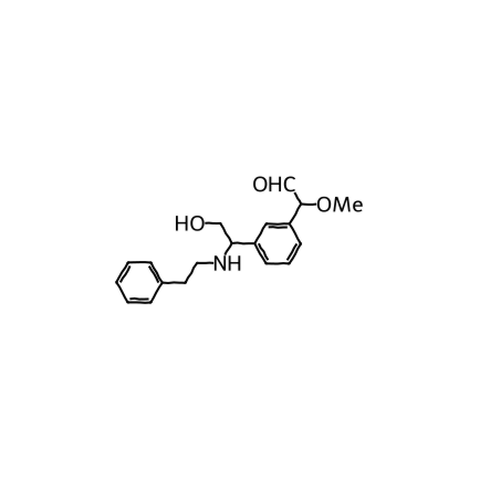 COC(C=O)c1cccc(C(CO)NCCc2ccccc2)c1